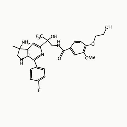 COc1cc(C(=O)NCC(O)(c2cc3c(c(-c4ccc(F)cc4)n2)NCC3(C)N)C(F)(F)F)ccc1OCCO